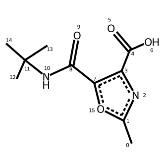 Cc1nc(C(=O)O)c(C(=O)NC(C)(C)C)o1